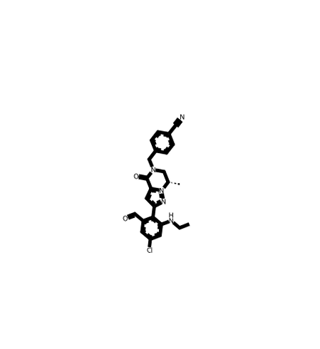 CCNc1cc(Cl)cc(C=O)c1-c1cc2n(n1)[C@@H](C)CN(Cc1ccc(C#N)cc1)C2=O